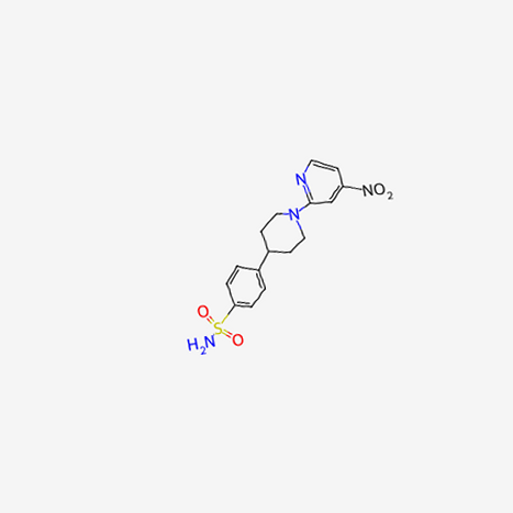 NS(=O)(=O)c1ccc(C2CCN(c3cc([N+](=O)[O-])ccn3)CC2)cc1